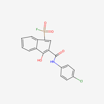 O=C(Nc1ccc(Cl)cc1)c1cc(S(=O)(=O)F)c2ccccc2c1O